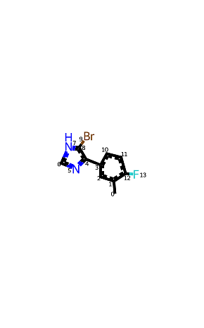 Cc1cc(-c2nc[nH]c2Br)ccc1F